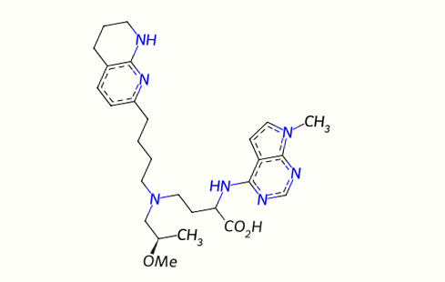 CO[C@H](C)CN(CCCCc1ccc2c(n1)NCCC2)CCC(Nc1ncnc2c1ccn2C)C(=O)O